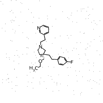 CCOC[C@]1(CCc2ccc(F)cc2)CCN(CCc2cccnc2)C1